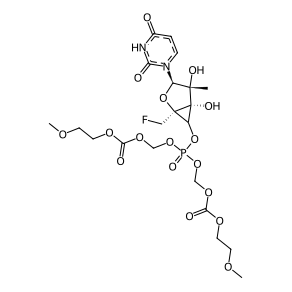 COCCOC(=O)OCOP(=O)(OCOC(=O)OCCOC)OC1[C@]2(O)[C@@](C)(O)[C@H](n3ccc(=O)[nH]c3=O)O[C@]12CF